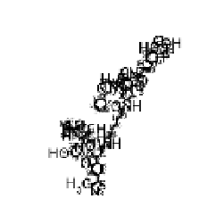 Cc1ncsc1-c1ccc([C@H](CC(=O)NCCCCCCC(=O)N[C@H]2C[C@@H](C(=O)N3CCO[C@H](c4ccccc4)C3)N(C(=O)[C@@H](NC(=O)c3cc4cc(C(F)(F)P(=O)(O)O)ccc4s3)C(C)(C)C)C2)NC(=O)[C@@H]2C[C@@H](O)CN2C(=O)[C@@H](NC(=O)C2(F)CC2)C(C)(C)C)cc1